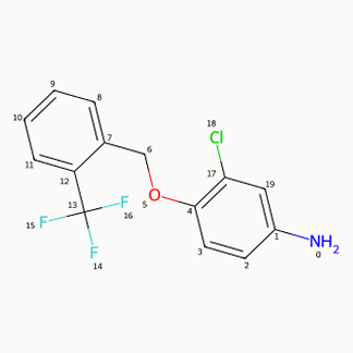 Nc1ccc(OCc2ccccc2C(F)(F)F)c(Cl)c1